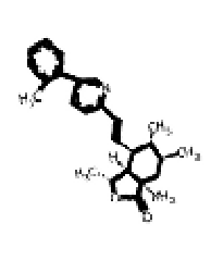 Cc1ccccc1-c1ccc(/C=C/[C@H]2[C@H](C)[C@@H](C)C[C@@]3(N)C(=O)O[C@H](C)[C@@H]23)nc1